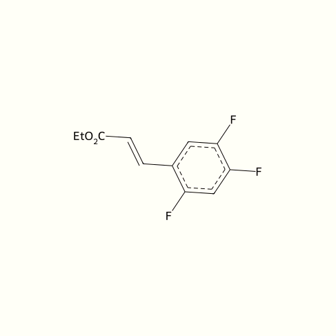 CCOC(=O)C=Cc1cc(F)c(F)cc1F